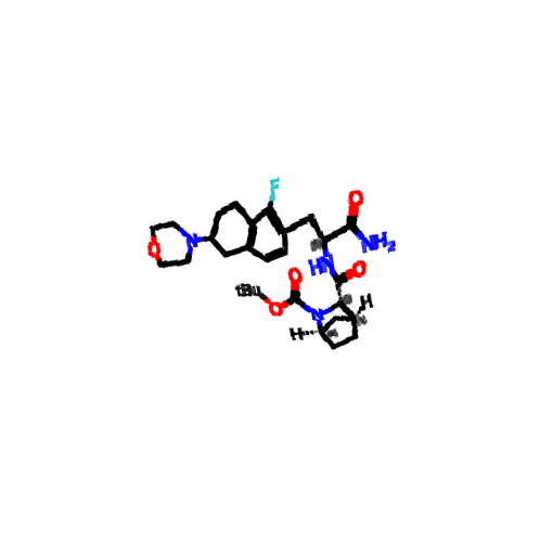 CC(C)(C)OC(=O)N1[C@@H]2CC[C@@H](C2)[C@H]1C(=O)N[C@@H](Cc1ccc2c(c1F)CCC(N1CCOCC1)C2)C(N)=O